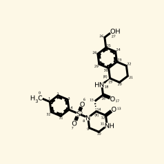 Cc1ccc(S(=O)(=O)N2CCNC(=O)[C@H]2CC(=O)N[C@@H]2CCCc3cc(CO)ccc32)cc1